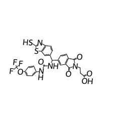 O=C(O)CCN1C(=O)c2ccc(C(NC(=O)Nc3ccc(OC(F)(F)F)cc3)c3ccc4nc(S)sc4c3)cc2C1=O